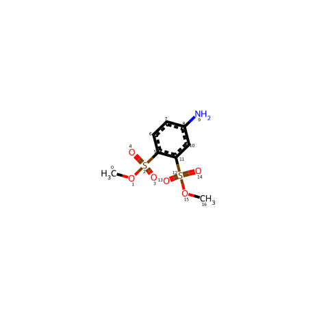 COS(=O)(=O)c1ccc(N)cc1S(=O)(=O)OC